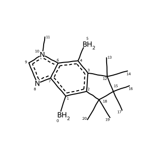 Bc1c2c(c(B)c3c1ncn3C)C(C)(C)C(C)(C)C2(C)C